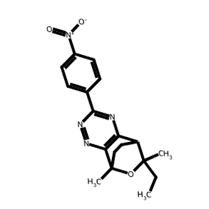 CCC1(C)OC2(C)CCC1c1nc(-c3ccc([N+](=O)[O-])cc3)nnc12